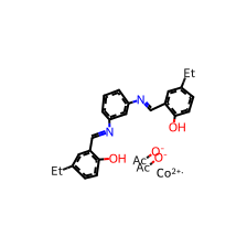 CC(=O)[O-].CC(=O)[O-].CCc1ccc(O)c(C=Nc2cccc(N=Cc3cc(CC)ccc3O)c2)c1.[Co+2]